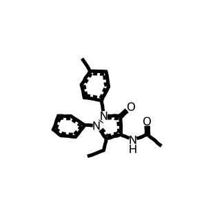 CCc1c(NC(C)=O)c(=O)n(-c2ccc(C)cc2)n1-c1ccccc1